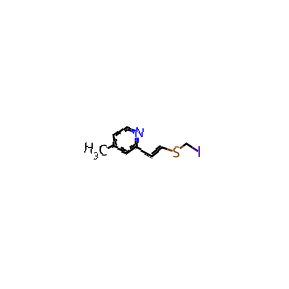 Cc1ccnc(/C=C/SCI)c1